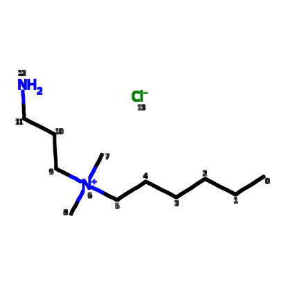 CCCCCC[N+](C)(C)CCCN.[Cl-]